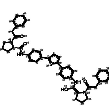 O=C(Nc1ccc(-c2ccc(-c3ccc(N/C(O)=C4/CCCN4C(=O)Cc4ccccc4)cc3)s2)cc1)[C@@H]1CCCN1C(=O)Cc1ccccc1